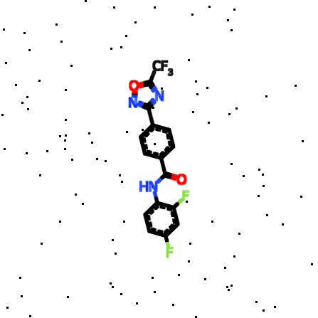 O=C(Nc1ccc(F)cc1F)c1ccc(-c2noc(C(F)(F)F)n2)cc1